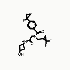 O=C(CN(CC1CC1(F)F)C(=O)c1ccc(C2(F)CC2)cc1)NC1CC(O)C1